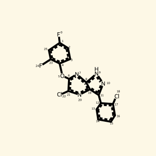 Fc1ccc(Oc2nc3[nH]nc(-c4ccccc4Cl)c3nc2Cl)c(F)c1